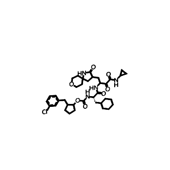 O=C(N[C@@H](CC1CCCCC1)C(=O)NC(CC1CC2(CCOCC2)NC1=O)C(=O)C(=O)NC1CC1)OC1CCCC1Cc1cccc(Cl)c1